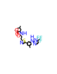 COC(=O)C(CC(C)C)NC(=O)CCc1ncc(-c2cc(C)cc(Nc3nccc(C(F)(F)F)n3)c2)s1